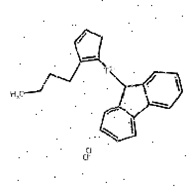 CCCCC1=[C]([Ti+2][CH]2c3ccccc3-c3ccccc32)CC=C1.[Cl-].[Cl-]